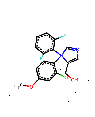 COc1ccc([N+]2(c3c(F)cccc3F)C=NC=C2CO)c(Cl)c1